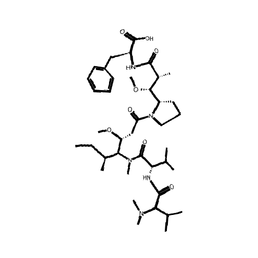 CC[C@H](C)C([C@@H](CC(=O)N1CCC[C@H]1[C@H](OC)[C@@H](C)C(=O)N[C@@H](Cc1ccccc1)C(=O)O)OC)N(C)C(=O)[C@@H](NC(=O)C(C(C)C)N(C)C)C(C)C